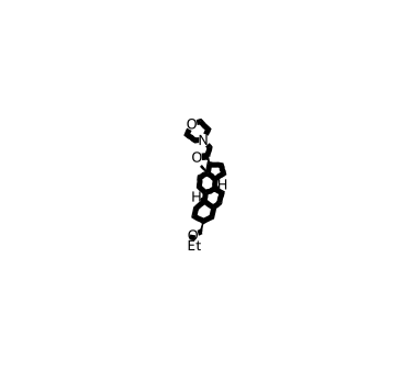 CCOC[C@H]1CC[C@H]2C(CC[C@@H]3C2CC[C@@]2(C)C3CC[C@@H]2C(=O)CN2CCOCC2)C1